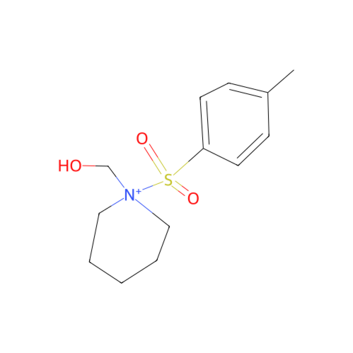 Cc1ccc(S(=O)(=O)[N+]2(CO)CCCCC2)cc1